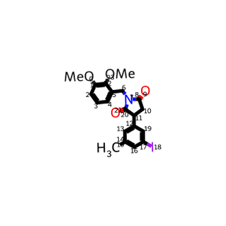 COc1cccc(CN2C(=O)CC(c3cc(C)cc(I)c3)C2=O)c1OC